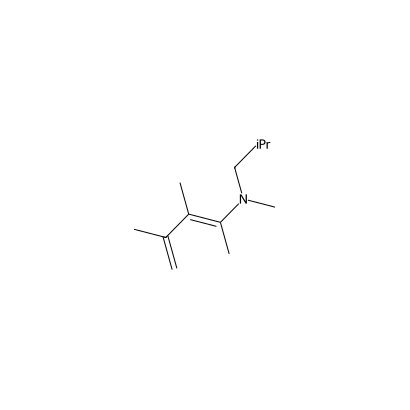 C=C(C)/C(C)=C(\C)N(C)CC(C)C